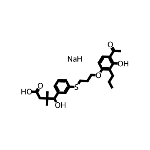 CCCc1c(OCCCSc2cccc(C(O)C(C)(C)CC(=O)O)c2)ccc(C(C)=O)c1O.[NaH]